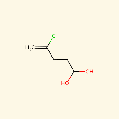 C=C(Cl)CCC(O)O